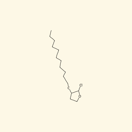 CCCCCCCCCCCCC1CCOC1Cl